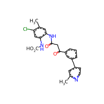 Cc1cc(-c2cccc(C(=O)CC(=O)Nc3cc(C)c(Cl)cc3NC(=O)O)c2)ccn1